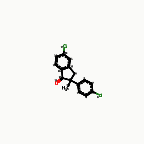 CC1(c2ccc(Cl)cc2)Cc2cc(Cl)ccc2C1=O